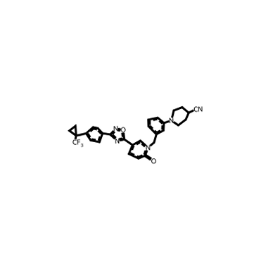 N#CC1CCN(c2cccc(Cn3cc(-c4nc(-c5ccc(C6(C(F)(F)F)CC6)cc5)no4)ccc3=O)c2)CC1